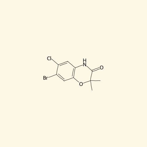 CC1(C)Oc2cc(Br)c(Cl)cc2NC1=O